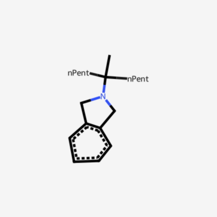 CCCCCC(C)(CCCCC)N1Cc2ccccc2C1